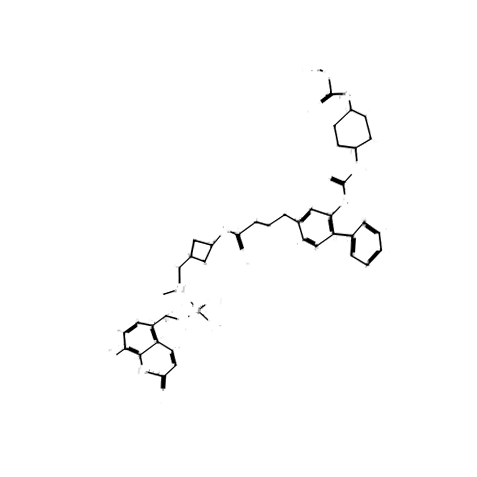 CC(C)(C)OC(=O)NC1CCC(OC(=O)Nc2cc(CCCC(=O)NC3CC(CNC[C@H](O[Si](C)(C)C(C)(C)C)c4ccc(O)c5[nH]c(=O)ccc45)C3)ccc2-c2ccccc2)CC1